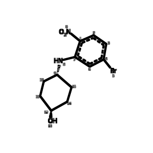 O=[N+]([O-])c1ccc(Br)cc1N[C@H]1CC[C@H](O)CC1